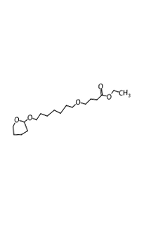 CCOC(=O)CCCOCCCCCCCOC1CCCCO1